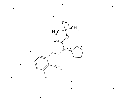 CC(C)(C)OC(=O)N(CCc1cccc(F)c1N)C1CCCC1